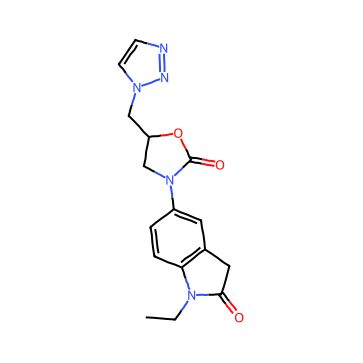 CCN1C(=O)Cc2cc(N3CC(Cn4ccnn4)OC3=O)ccc21